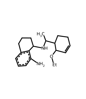 CCOC1C=CCCC1C(C)NC1CCCc2cccc(N)c21